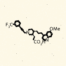 COc1ccc2nccc(CCC[C@@H]3CCN(CC#Cc4cccc(C(F)(F)F)c4)C[C@@H]3CCC(=O)O)c2c1